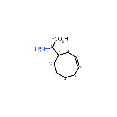 NC(C(=O)O)C1CC=CCCCC1